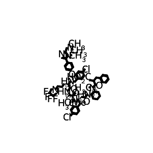 COC[C@H](NC(=O)[C@H](CCCN1CC(F)(F)C(F)(F)C1)NCc1ccc(Cl)cc1Oc1ccc(-c2cnc(CN(C)C)n2C)cc1)C(=O)N(C)[C@H](CC(=O)N[C@H]1CCCC[C@@H]1N(C)C(=O)C(CC(=O)O)Cc1ccccc1)Cc1ccc(Cl)cc1